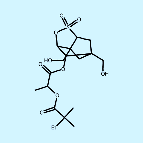 CCC(C)(C)C(=O)OC(C)C(=O)OC1C2OS(=O)(=O)C3CC1(CO)CC23CO